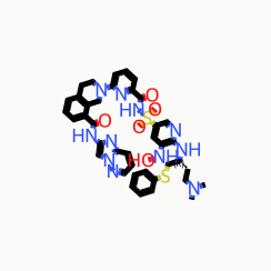 CN(C)CC[C@H](CSc1ccccc1)Nc1ncc(S(=O)(=O)NC(=O)c2cccc(N3CCc4cccc(C(=O)Nc5cn6ncccc6n5)c4C3)n2)cc1NO